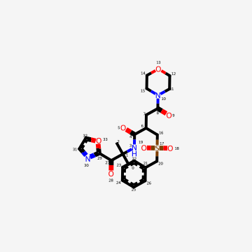 CC(C)(NC(=O)C(CC(=O)N1CCOCC1)CS(=O)(=O)Cc1ccccc1)C(=O)c1ncco1